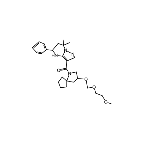 COCCOCOC1CN(C(=O)c2cnn3c2NC(c2ccccc2)CC3(C)C)C2(CCCC2)C1